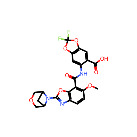 COc1ccc2nc(N3C4COCC3C4)oc2c1C(=O)Nc1cc2c(cc1C(=O)O)OC(F)(F)O2